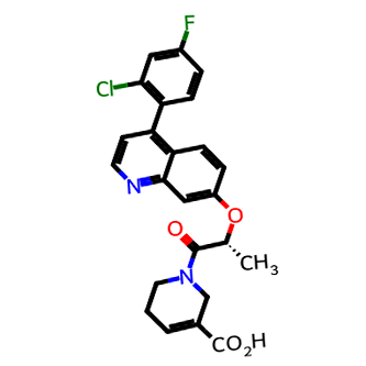 C[C@@H](Oc1ccc2c(-c3ccc(F)cc3Cl)ccnc2c1)C(=O)N1CCC=C(C(=O)O)C1